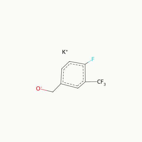 [K+].[O-]Cc1ccc(F)c(C(F)(F)F)c1